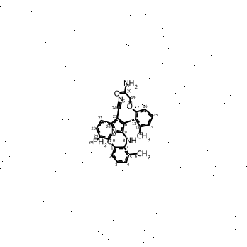 Cc1cccc(C)c1Nc1c(-c2c(C)cccc2OCC(N)=O)c(C#N)c2ccc(F)cn12